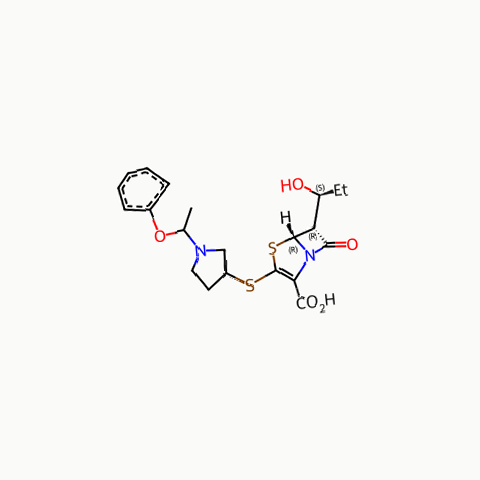 CC[C@H](O)[C@@H]1C(=O)N2C(C(=O)O)=C(SC3CCN(C(C)Oc4ccccc4)C3)S[C@H]12